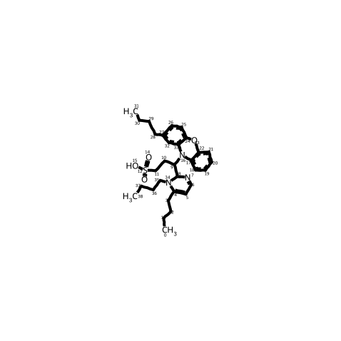 CCCCC1=CC=NC(C(CCS(=O)(=O)O)N2c3ccccc3Oc3ccc(CCCC)cc32)N1CCCC